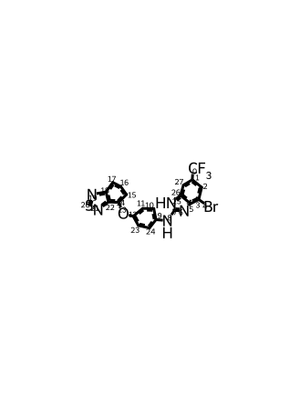 FC(F)(F)c1cc(Br)c2nc(Nc3ccc(Oc4cccc5nsnc45)cc3)[nH]c2c1